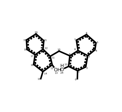 Cc1cc2ccccc2c(Cc2c(O)c(C)cc3ccccc23)c1O